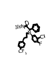 CNC(=O)C(c1ccccc1)N(CCCc1ccc(C(F)(F)F)cc1)c1ccc(F)c(Cl)c1